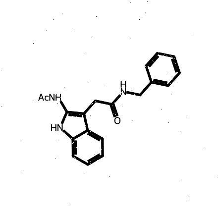 CC(=O)Nc1[nH]c2ccccc2c1CC(=O)NCc1ccccc1